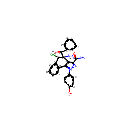 NC(=O)c1nn(-c2ccc(O)cc2)c2c1C(N)(C(=O)c1ccccc1)C(Cl)c1ccccc1-2